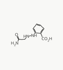 NC(=O)CNNc1ccccc1C(=O)O